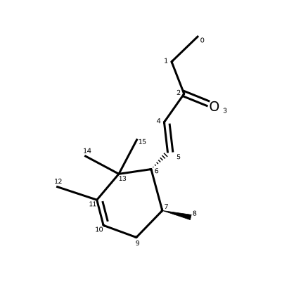 CCC(=O)/C=C/[C@@H]1[C@@H](C)CC=C(C)C1(C)C